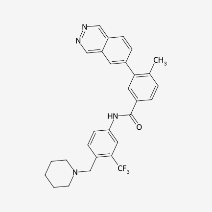 Cc1ccc(C(=O)Nc2ccc(CN3CCCCC3)c(C(F)(F)F)c2)cc1-c1ccc2cnncc2c1